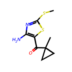 CSc1nc(N)c(C(=O)C2(C)CC2)s1